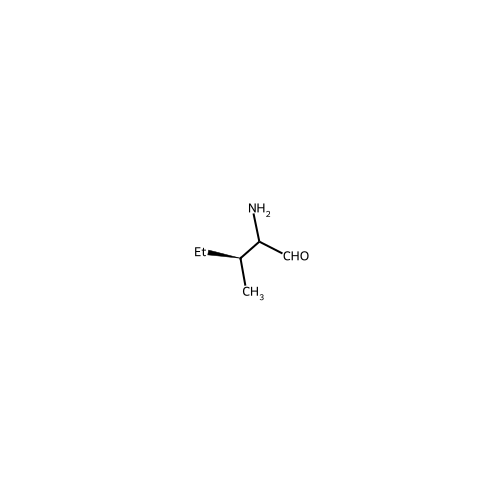 CC[C@H](C)C(N)C=O